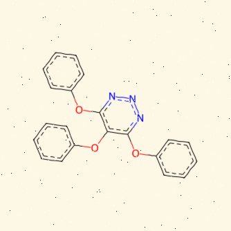 c1ccc(Oc2nnnc(Oc3ccccc3)c2Oc2ccccc2)cc1